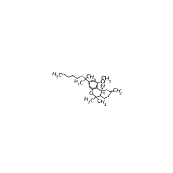 C=C1CCC2[C@@H](C1)c1c(OC)cc(C(C)(C)CCCCCC)cc1OC2(C)C